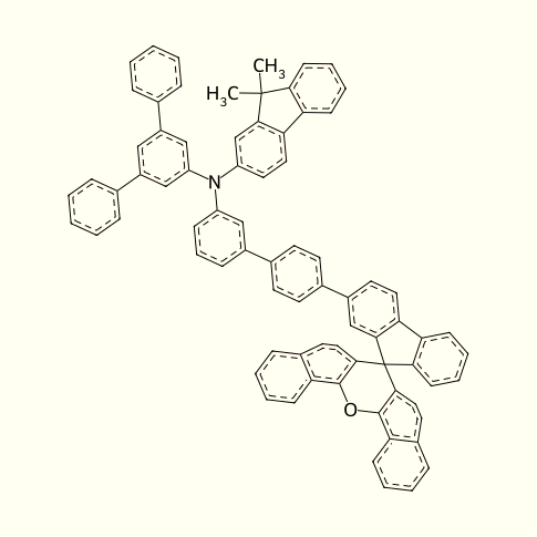 CC1(C)c2ccccc2-c2ccc(N(c3cccc(-c4ccc(-c5ccc6c(c5)C5(c7ccccc7-6)c6ccc7ccccc7c6Oc6c5ccc5ccccc65)cc4)c3)c3cc(-c4ccccc4)cc(-c4ccccc4)c3)cc21